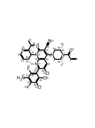 C=CC(=O)N1[C@H](C)CN(c2c(C#N)c(=O)n(C3C(C(C)C)=NC=C[C@H]3C)c3nc(-c4c(F)c(N)c(F)c(Cl)c4Cl)c(Cl)cc23)C[C@@H]1C